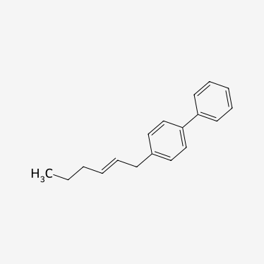 CCCC=CCc1ccc(-c2ccccc2)cc1